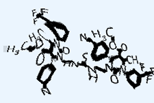 CCOC(=O)C1=C(C)N(c2cccc(C(F)(F)F)c2)C(=O)N(CCNC(=S)NCCN2C(=O)N(c3cccc(C(F)(F)F)c3)C(C)=C(C(=O)OCC)[C@H]2c2ccc(C#N)cc2)[C@@H]1c1ccc(C#N)cc1